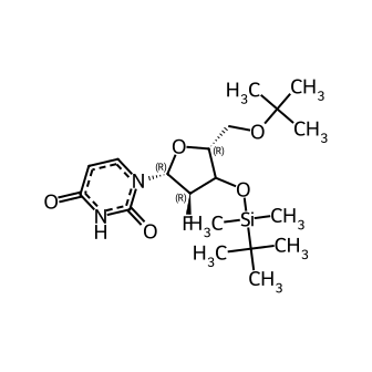 CC(C)(C)OC[C@H]1O[C@@H](n2ccc(=O)[nH]c2=O)[C@H](F)C1O[Si](C)(C)C(C)(C)C